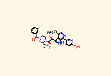 COc1cnc(-c2ccc(O)nc2)c2[nH]cc(C(=O)C(=O)N3CCN(C(=O)c4ccccc4)C[C@H]3C)c12